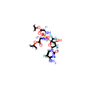 CC(C)OC(=O)[C@H](C)NP(=O)(N[C@@H](C)C(=O)OC(C)C)OC[C@@]1(C(F)F)O[C@@H](n2cc(F)c(N)nc2=O)[C@@H](F)[C@@H]1O